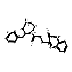 O=C(CCc1nc2ccccc2oc1=O)N1CCNCC1Cc1ccccc1